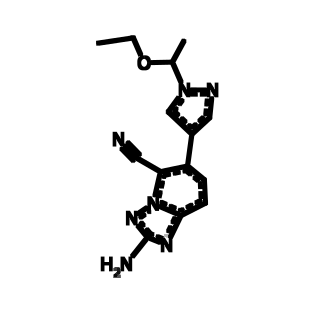 CCOC(C)n1cc(-c2ccc3nc(N)nn3c2C#N)cn1